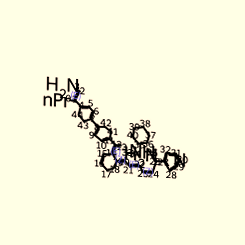 CCC/C(=C\N)C1=CC=C(C2=CC=C(\C(C)=C3/C=CCC/C3=C(\C=C\C=C/C(N)c3ccncc3)CNC3CCCCC3)CC2)CC1